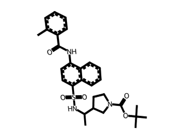 Cc1ccccc1C(=O)Nc1ccc(S(=O)(=O)NC(C)C2CCN(C(=O)OC(C)(C)C)C2)c2ccccc12